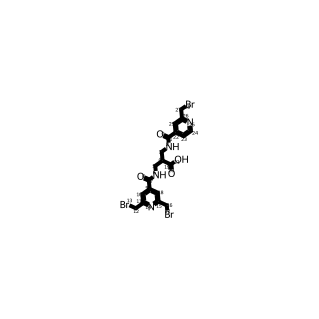 O=C(NCC(CNC(=O)c1cc(CBr)nc(CBr)c1)C(=O)O)c1ccnc(CBr)c1